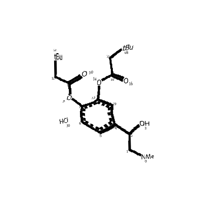 CNCC(O)c1ccc(OC(=O)CC(C)(C)C)c(OC(=O)CC(C)(C)C)c1.Cl